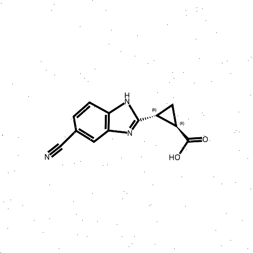 N#Cc1ccc2[nH]c([C@@H]3C[C@H]3C(=O)O)nc2c1